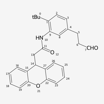 CC(C)(C)c1ccc(CCC=O)cc1NC(=O)CC1c2ccccc2Oc2ccccc21